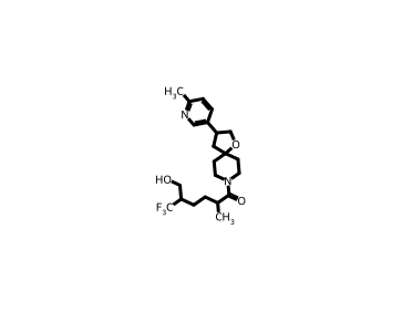 Cc1ccc(C2COC3(CCN(C(=O)C(C)CCC(CO)C(F)(F)F)CC3)C2)cn1